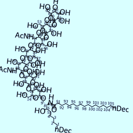 CCCCCCCCCCCCC/C=C/[C@@H](O)[C@H](CO[C@@H]1OC(CO)[C@@H](O[C@@H]2OC(CO)[C@H](O)[C@H](O[C@@H]3OC(CO)[C@@H](O[C@@H]4OC(CO)[C@H](O)[C@H](O[C@@H]5OC(CO)[C@@H](O[C@@H]6OC(CO)[C@H](O)[C@H](O[C@H]7OC(CO)[C@H](O)[C@H](O)C7O)C6O)[C@H](O)C5NC(C)=O)C4O)[C@H](O)C3NC(C)=O)C2O)[C@H](O)C1O)NC(=O)CCCCCCCCCCCCCCCCCCCCCCCCC